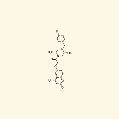 Cc1cc(=O)oc2ccc(OCC(=O)N3C[C@H](C)N(Cc4ccc(F)cc4)C[C@H]3C)cc12